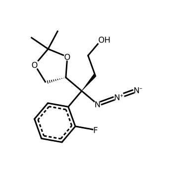 CC1(C)OC[C@@H]([C@](CCO)(N=[N+]=[N-])c2ccccc2F)O1